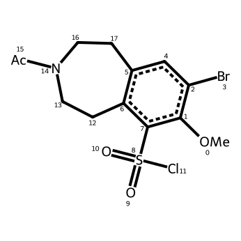 COc1c(Br)cc2c(c1S(=O)(=O)Cl)CCN(C(C)=O)CC2